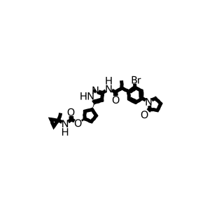 CC(C(=O)Nc1cc([C@@H]2CC[C@@H](OC(=O)NC3(C)CC3)C2)[nH]n1)c1ccc(N2CCCC2=O)cc1Br